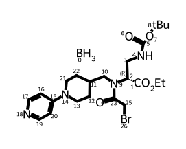 B.CCOC(=O)[C@@H](CNC(=O)OC(C)(C)C)N(CC1CCN(c2ccncc2)CC1)C(=O)CBr